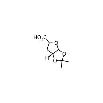 CC1(C)OC2OC(C(=O)O)C[C@H]2O1